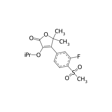 CC(C)OC1=C(c2ccc(S(C)(=O)=O)c(F)c2)C(C)(C)OC1=O